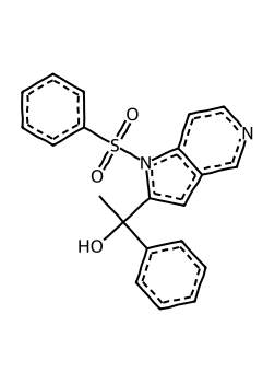 CC(O)(c1ccccc1)c1cc2cnccc2n1S(=O)(=O)c1ccccc1